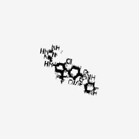 COc1cc(-c2c(Cl)cc(Nc3n[nH]c(N)n3)cc2C(F)(F)I)ccc1S(=O)(=O)NC1CCNCC1